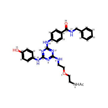 CC(=O)NCCOCCNc1nc(Nc2ccc(O)cc2)nc(Nc2ccc(C(=O)NCc3ccccc3)cc2)n1